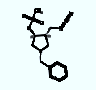 CS(=O)(=O)O[C@@H]1CN(Cc2ccccc2)C[C@H]1CN=[N+]=[N-]